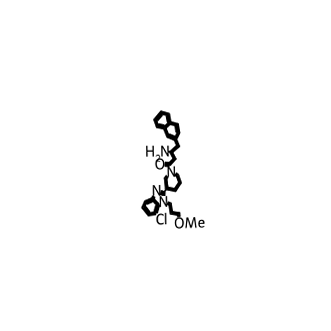 COCCCn1c([C@@H]2CCCN(C(=O)C[C@H](N)Cc3ccc4ccccc4c3)C2)nc2cccc(Cl)c21